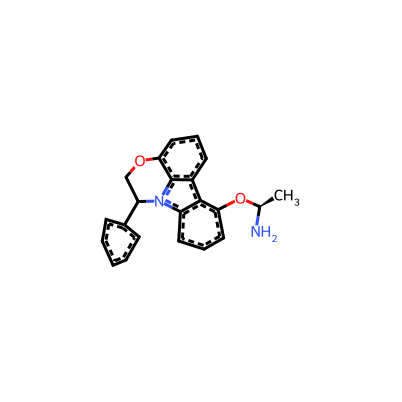 C[C@@H](N)Oc1cccc2c1c1cccc3c1n2C(c1ccccc1)CO3